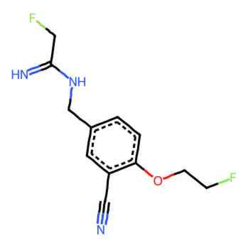 N#Cc1cc(CNC(=N)CF)ccc1OCCF